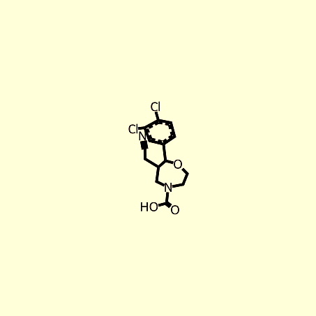 N#CCC1CN(C(=O)O)CCOC1c1ccc(Cl)c(Cl)c1